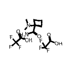 CN(C)C1(C(N)=O)CCC1.O=C(O)C(F)(F)F.O=C(O)C(F)(F)F